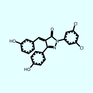 O=C1/C(=C/c2cccc(O)c2)C(c2ccc(O)cc2)=NN1c1cc(Cl)cc(Cl)c1